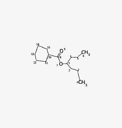 CCCC(CCC)OC(=O)C1CCCCC1